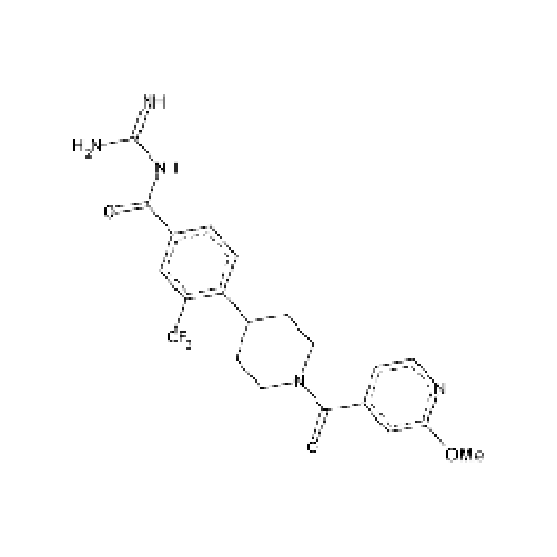 COc1cc(C(=O)N2CCC(c3ccc(C(=O)NC(=N)N)cc3C(F)(F)F)CC2)ccn1